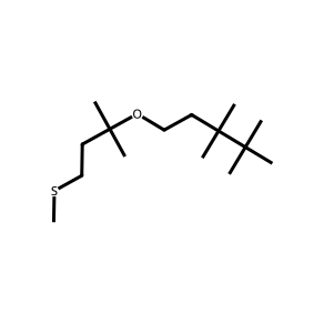 CSCCC(C)(C)OCCC(C)(C)C(C)(C)C